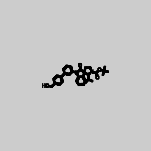 CC(C)C1N(C(=O)OC(C)(C)C)CCC12C(=O)N(c1cccc(-c3ccc(CO)cc3)c1)c1ccccc12